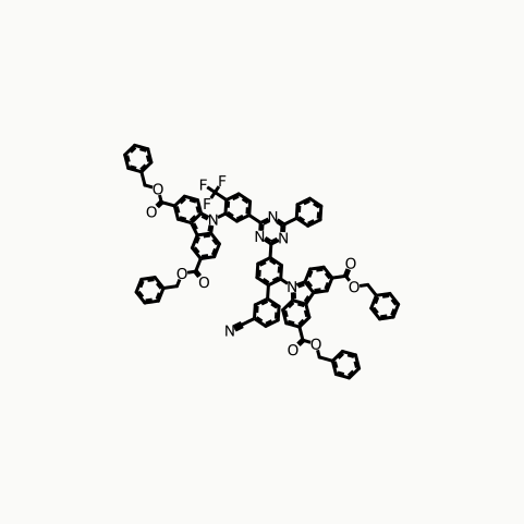 N#Cc1cccc(-c2ccc(-c3nc(-c4ccccc4)nc(-c4ccc(C(F)(F)F)c(-n5c6ccc(C(=O)OCc7ccccc7)cc6c6cc(C(=O)OCc7ccccc7)ccc65)c4)n3)cc2-n2c3ccc(C(=O)OCc4ccccc4)cc3c3cc(C(=O)OCc4ccccc4)ccc32)c1